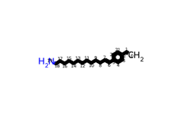 C=Cc1ccc(C=CCCCCCCCCCCCN)cc1